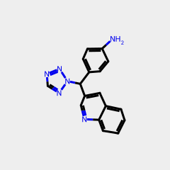 Nc1ccc(C(c2cnc3ccccc3c2)n2ncnn2)cc1